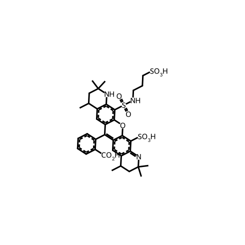 CC1CC(C)(C)Nc2c1cc1c(c2S(=O)(=O)NCCCS(=O)(=O)O)Oc2c(S(=O)(=O)O)c3c(cc2=C1c1ccccc1C(=O)O)C(C)CC(C)(C)N=3